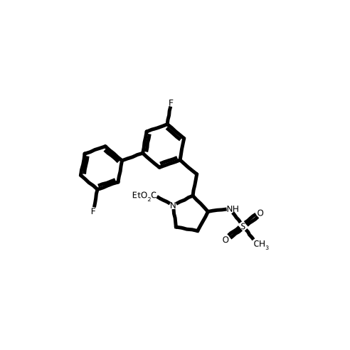 CCOC(=O)N1CCC(NS(C)(=O)=O)C1Cc1cc(F)cc(-c2cccc(F)c2)c1